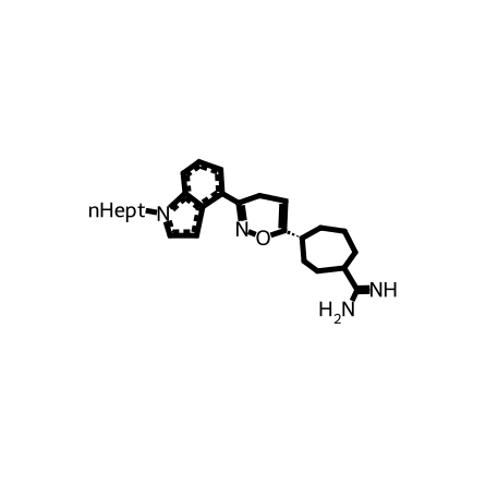 CCCCCCCn1ccc2c(C3=NOC([C@@H]4CCCC(C(=N)N)CC4)=CC3)cccc21